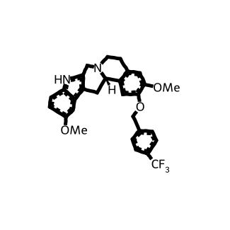 COc1ccc2[nH]c3c(c2c1)C[C@H]1c2cc(OCc4ccc(C(F)(F)F)cc4)c(OC)cc2CCN1C3